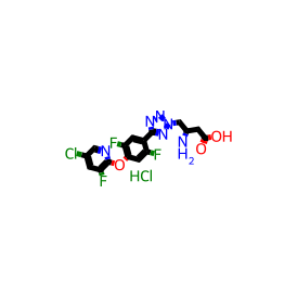 Cl.NC(CC(=O)O)Cn1nnc(-c2cc(F)c(Oc3ncc(Cl)cc3F)cc2F)n1